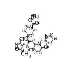 Cc1noc(C)c1-c1cc2ccc(=O)n(Cc3ccccn3)c2cc1OC1CCN(C(=O)OC(C)(C)C)CC1